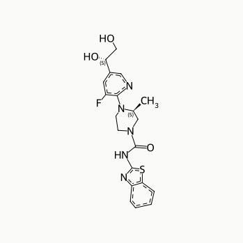 C[C@H]1CN(C(=O)Nc2nc3ccccc3s2)CCN1c1ncc([C@H](O)CO)cc1F